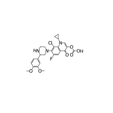 COc1ccc(C2CN(c3c(F)cc4c(=O)c(OC(=O)O)cn(C5CC5)c4c3Cl)CCN2)cc1OC